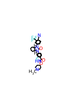 CN1CCC(ONC(=O)c2ccc(N3C(=O)N(c4ccc(C#N)c(C(F)(F)F)c4)[C@H]4CCCC[C@@H]43)cc2F)CC1